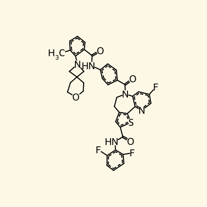 Cc1cccc(C(=O)Nc2ccc(C(=O)N3CCc4cc(C(=O)Nc5c(F)cccc5F)sc4-c4ncc(F)cc43)cc2)c1N1CC2(CCOCC2)C1